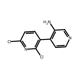 Nc1cnccc1-c1ccc(Cl)nc1Cl